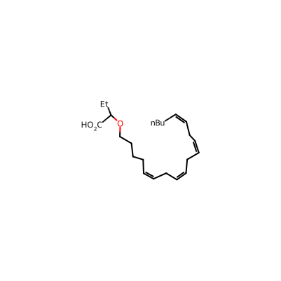 CCCC/C=C\C/C=C\C/C=C\C/C=C\CCCCOC(CC)C(=O)O